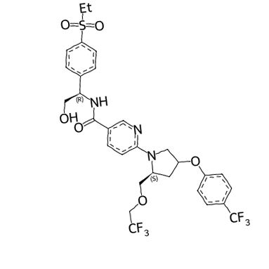 CCS(=O)(=O)c1ccc([C@H](CO)NC(=O)c2ccc(N3CC(Oc4ccc(C(F)(F)F)cc4)C[C@H]3COCC(F)(F)F)nc2)cc1